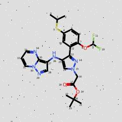 CC(C)Sc1ccc(OC(F)F)c(-c2nn(CC(=O)OC(C)(C)C)cc2Nc2cnn3cccnc23)c1